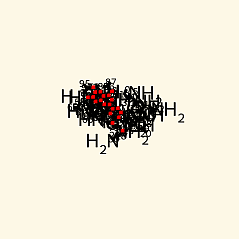 CC[C@H](C)[C@H](N)C(=O)N[C@@H](CC(N)=O)C(=O)N[C@@H](CC(C)C)C(=O)N[C@@H](CCCCN)C(=O)N[C@@H](C)C(=O)N[C@@H](CC(C)C)C(=O)N[C@@H](C)C(=O)N[C@@H](C)C(=O)N[C@@H](CC(C)C)C(=O)N[C@@H](C)C(=O)N[C@@H](CCCCN)C(=O)N[C@@H](C)C(=O)N[C@@H](CC(C)C)C(=O)N[C@@H](CC(C)C)C(N)=O